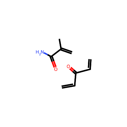 C=C(C)C(N)=O.C=CC(=O)C=C